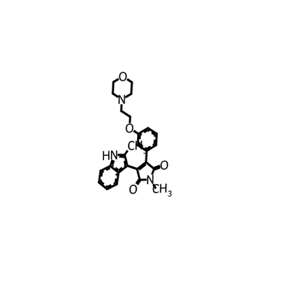 Cc1[nH]c2ccccc2c1C1=C(c2cccc(OCCN3CCOCC3)c2)C(=O)N(C)C1=O